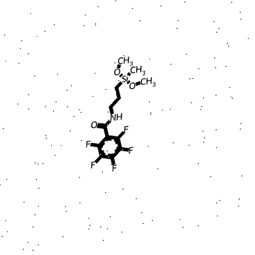 CO[Si](C)(CCCNC(=O)c1c(F)c(F)c(F)c(F)c1F)OC